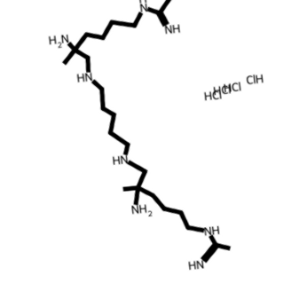 CC(=N)NCCCCC(C)(N)CNCCCCCNCC(C)(N)CCCCNC(C)=N.Cl.Cl.Cl.Cl